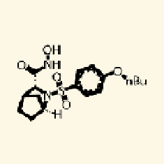 CCCCOc1ccc(S(=O)(=O)N2[C@H]3CCC(C3)[C@@H]2C(=O)NO)cc1